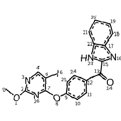 COc1ncc(I)c(Oc2ccc(C(=O)c3nc4ccccc4[nH]3)cc2)n1